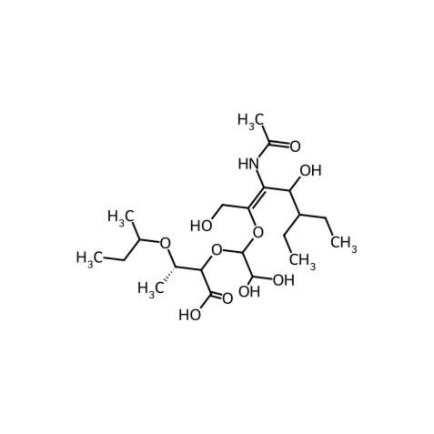 CCC(C)O[C@@H](C)C(OC(O/C(CO)=C(/NC(C)=O)C(O)C(CC)CC)C(O)O)C(=O)O